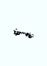 Cc1c(C)c2ccc(C=CCCCN3CCN(c4cccc(Cl)c4Cl)CC3)nc2[nH]c1=O